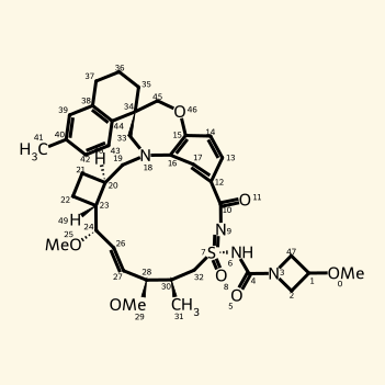 COC1CN(C(=O)N[S@@]2(=O)=NC(=O)c3ccc4c(c3)N(C[C@@H]3CC[C@H]3[C@@H](OC)/C=C/[C@H](OC)[C@H](C)C2)C[C@@]2(CCCc3cc(C)ccc32)CO4)C1